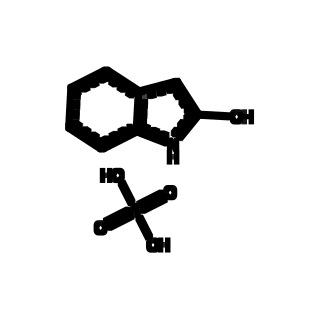 O=S(=O)(O)O.Oc1cc2ccccc2[nH]1